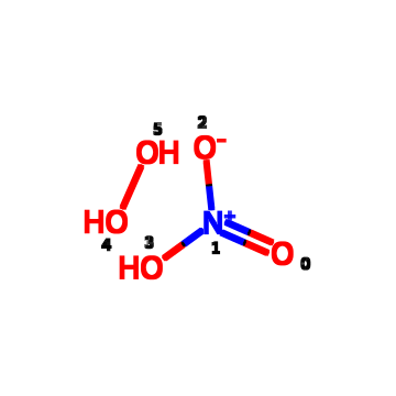 O=[N+]([O-])O.OO